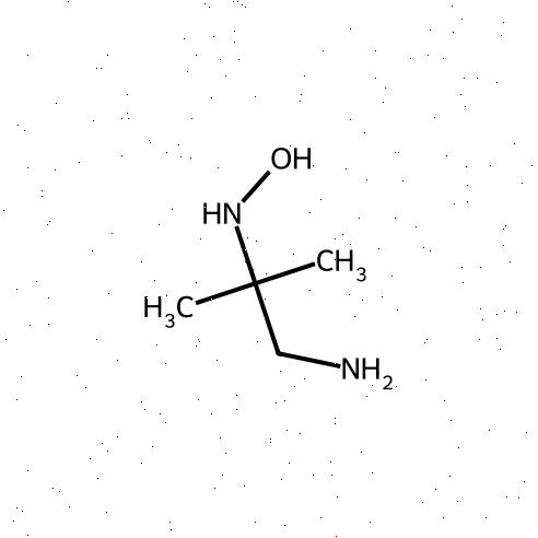 CC(C)(CN)NO